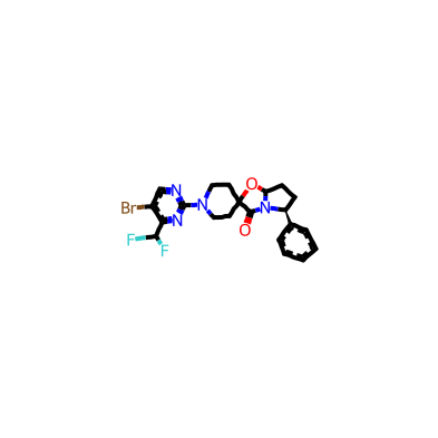 O=C1N2C(CC[C@H]2c2ccccc2)OC12CCN(c1ncc(Br)c(C(F)F)n1)CC2